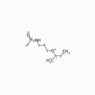 CCC(C)OCCCNC(=O)I